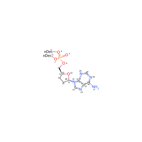 CCCCCCCCCCOP(=O)(OCCCCCCCCCC)OC[C@@H]1CC[C@H](n2cnc3c(N)ncnc32)O1